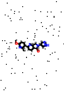 COc1ccc(-c2ccc3c(n2)CN(c2cn[nH]c2)C3=O)c(C)n1